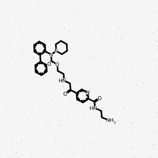 NCCNC(=O)c1ccc(C(=O)CNCCOC(=O)N(c2ccccc2-c2ccccc2)N2CC[CH]CC2)cn1